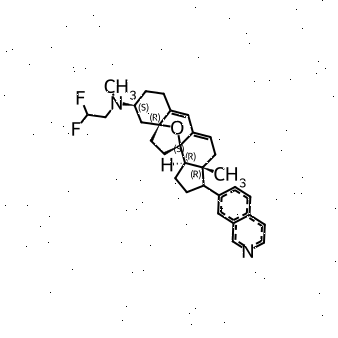 CN(CC(F)F)[C@H]1CCC2=CC3=CC[C@]4(C)C(c5ccc6ccncc6c5)CC[C@H]4[C@@]34CC[C@]2(C1)O4